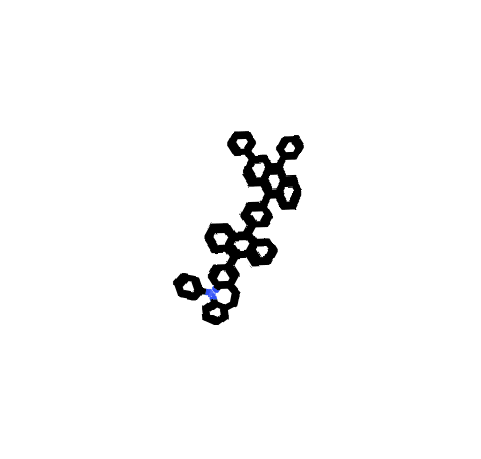 C1=Cc2cc(-c3c4ccccc4c(-c4ccc(-c5c6ccccc6c(-c6ccccc6)c6cc(-c7ccccc7)ccc56)cc4)c4ccccc34)ccc2N(c2ccccc2)c2ccccc21